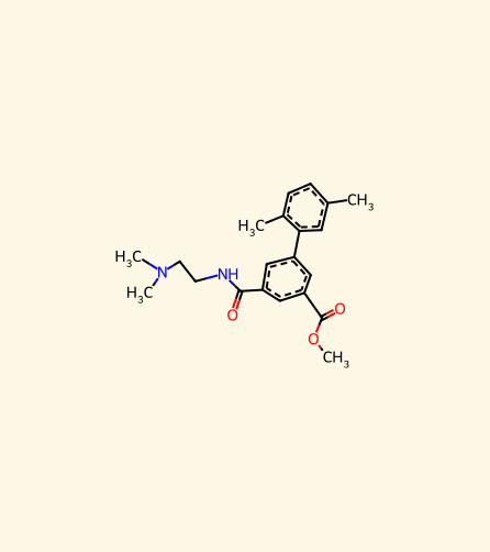 COC(=O)c1cc(C(=O)NCCN(C)C)cc(-c2cc(C)ccc2C)c1